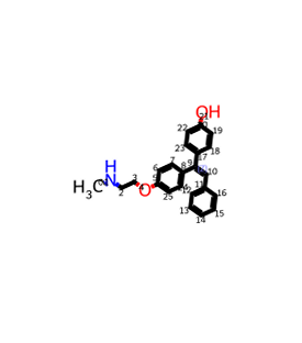 CNCCOc1ccc(/C(=C\c2ccccc2)c2ccc(O)cc2)cc1